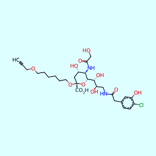 C#CCOCCCCCCO[C@]1(C(=O)O)C[C@H](O)[C@@H](NC(=O)CO)[C@H]([C@H](O)[C@H](O)CNC(=O)Cc2ccc(Cl)c(O)c2)O1